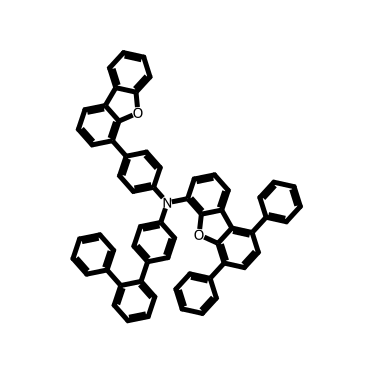 c1ccc(-c2ccccc2-c2ccc(N(c3ccc(-c4cccc5c4oc4ccccc45)cc3)c3cccc4c3oc3c(-c5ccccc5)ccc(-c5ccccc5)c34)cc2)cc1